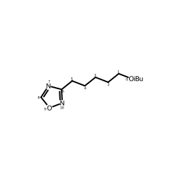 CC(C)COCCCCCc1ncon1